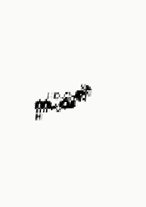 O=C(O)C[C@H](c1cnc2nccnc2c1)n1ncc2cc(OCCc3ccc4c(n3)NCCC4)ccc21